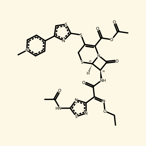 CCON=C(C(=O)N[C@@H]1C(=O)N2C(C(=O)OC(C)=O)=C(Sc3nc(-c4cc[n+](C)cc4)cs3)CS[C@H]12)c1nsc(NC(C)=O)n1